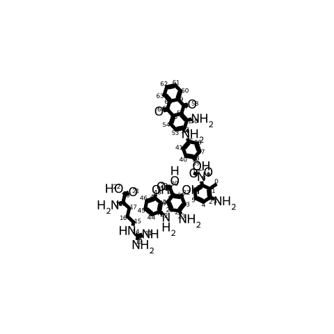 Cc1c(N)cccc1[N+](=O)[O-].N=C(N)NCCCC(N)C(=O)O.Nc1ccc(C(=O)O)c(O)c1.Nc1ccc(O)cc1.Nc1cccc(O)c1.Nc1cccc2c1C(=O)c1ccccc1C2=O